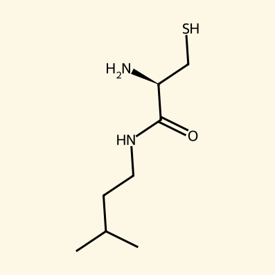 CC(C)CCNC(=O)[C@@H](N)CS